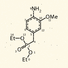 CCOP(=O)(Cc1ccc(N)c(OC)c1)OCC